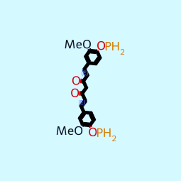 COc1cc(/C=C/C(=O)CC(=O)/C=C/c2ccc(OP)c(OC)c2)ccc1OP